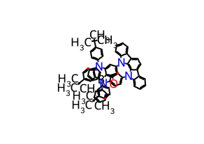 CC(C)(C)c1ccc(N2c3ccc(C(C)(C)C)cc3B3c4cc(C(C)(C)C)ccc4Oc4cc(-n5c6ccccc6c6ccc7c8ccccc8n(-c8ccc(N(c9ccccc9)c9ccccc9)cc8)c7c65)cc2c43)cc1